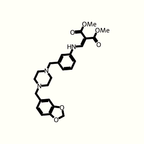 COC(=O)C(=CNc1cccc(CN2CCN(Cc3ccc4c(c3)OCO4)CC2)c1)C(=O)OC